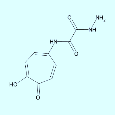 NNC(=O)C(=O)Nc1ccc(O)c(=O)cc1